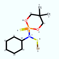 CCC1(CC)COP(=S)(N(SBr)C2CCCCC2)OC1